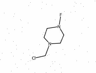 FN1CCN(CCl)CC1